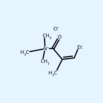 CCC=C(C)C(=O)[N+](C)(C)C.[Cl-]